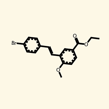 CCOC(=O)c1ccc(OC)c(C=Cc2ccc(Br)cc2)c1